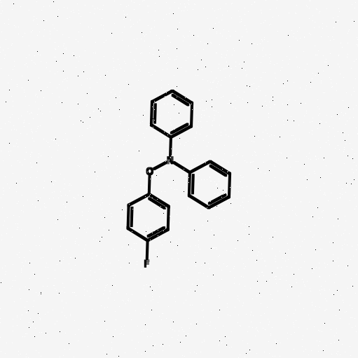 Fc1ccc(ON(c2ccccc2)c2ccccc2)cc1